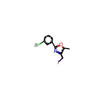 Cc1oc(-c2cccc(Br)c2)nc1CI